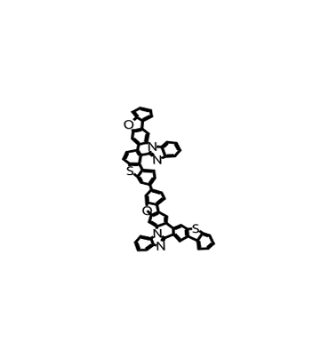 c1ccc2c(c1)nc1c3cc4c(cc3c3cc5c(cc3n21)oc1cc(-c2ccc3c(c2)sc2ccc6c7cc8oc9ccccc9c8cc7n7c8ccccc8nc7c6c23)ccc15)sc1ccccc14